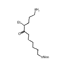 CCCCCCCCCCCCCCCC(=O)C(CC)CCCN